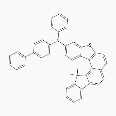 CC1(C)c2ccccc2-c2ccc3ccc4sc5cc(N(c6ccccc6)c6ccc(-c7ccccc7)cc6)ccc5c4c3c21